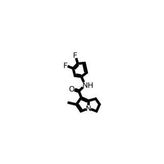 Cc1cn2c(c1C(=O)Nc1ccc(F)c(F)c1)CCC2